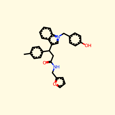 Cc1ccc(C(CC(=O)NCc2ccco2)c2cn(Cc3ccc(O)cc3)c3ccccc23)cc1